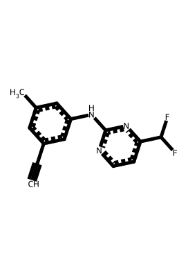 C#Cc1cc(C)cc(Nc2nccc(C(F)F)n2)c1